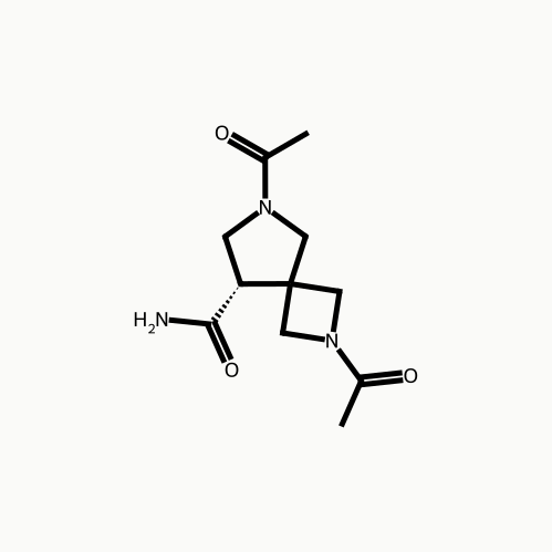 CC(=O)N1C[C@@H](C(N)=O)C2(C1)CN(C(C)=O)C2